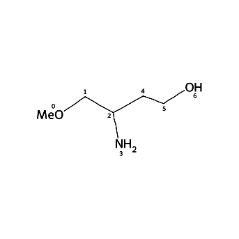 COCC(N)CCO